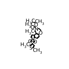 Cc1cc(S(=O)(=O)n2ccc3c4c(ccc32)OCCN(C(=O)OC(C)(C)C)C4C)c(C)s1